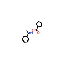 C/C(=N\OC(=O)C1CCCC1)c1ccccc1